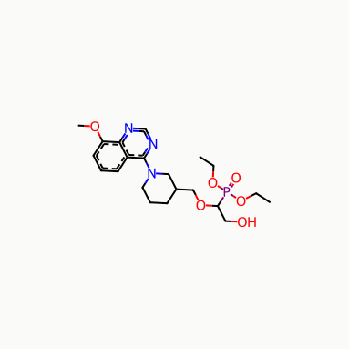 CCOP(=O)(OCC)C(CO)OCC1CCCN(c2ncnc3c(OC)cccc23)C1